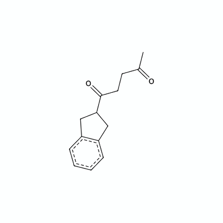 CC(=O)CCC(=O)C1Cc2ccccc2C1